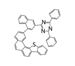 c1ccc(-c2nc(-c3ccccc3)nc(-c3cc(-c4ccc5ccc6ccc7c8ccccc8sc7c6c5c4)c4ccccc4c3)n2)cc1